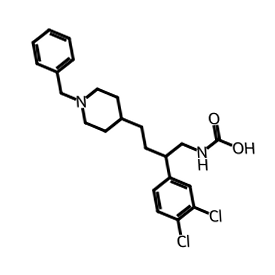 O=C(O)NCC(CCC1CCN(Cc2ccccc2)CC1)c1ccc(Cl)c(Cl)c1